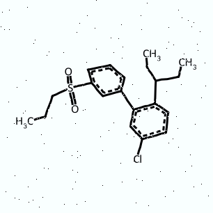 CCCS(=O)(=O)c1cccc(-c2cc(Cl)ccc2C(CC)CC)c1